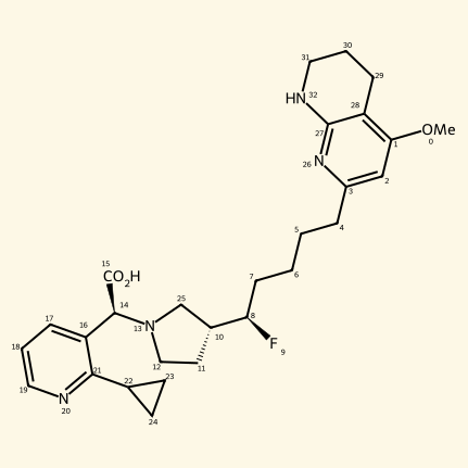 COc1cc(CCCC[C@@H](F)[C@@H]2CCN([C@H](C(=O)O)c3cccnc3C3CC3)C2)nc2c1CCCN2